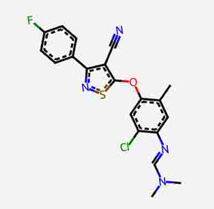 Cc1cc(N=CN(C)C)c(Cl)cc1Oc1snc(-c2ccc(F)cc2)c1C#N